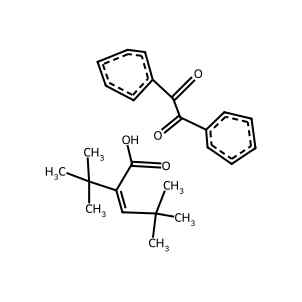 CC(C)(C)/C=C(\C(=O)O)C(C)(C)C.O=C(C(=O)c1ccccc1)c1ccccc1